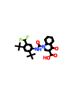 CC(C)(C)c1cc(C(C)(C)C)c(C(F)F)cc1NC(=O)n1cc(C(=O)O)c(=O)c2ccccc21